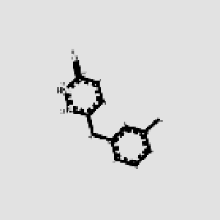 Cc1cccc(Cc2ccc(=O)[nH]n2)c1